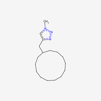 Cn1cc(CC2CCCCCCCCCCCC2)nn1